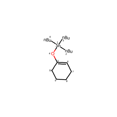 CCC[CH2][Sn]([CH2]CCC)([CH2]CCC)[O]C1=CCCCC1